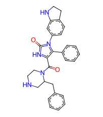 O=C(c1[nH]c(=O)n(-c2ccc3c(c2)NCC3)c1-c1ccccc1)N1CCNCC1Cc1ccccc1